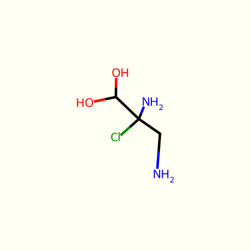 NCC(N)(Cl)C(O)O